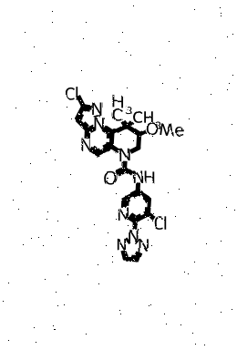 COC1CN(C(=O)Nc2cnc(-n3nccn3)c(Cl)c2)c2cnc3cc(Cl)nn3c2C1(C)C